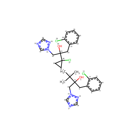 CC(C)(C)C(O)(Cc1ccccc1Cl)Cn1cncn1.OC(Cc1ccccc1Cl)(Cn1cncn1)C1(Cl)CC1